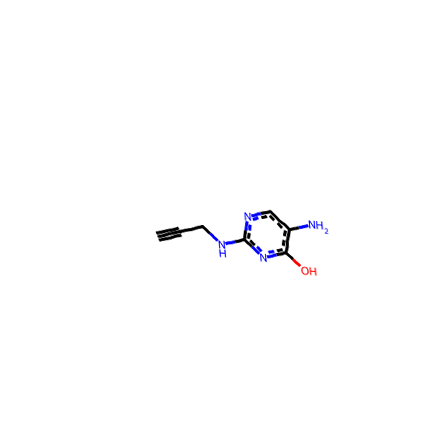 C#CCNc1ncc(N)c(O)n1